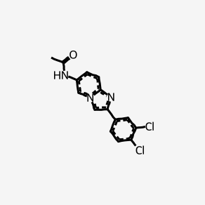 CC(=O)Nc1ccc2nc(-c3ccc(Cl)c(Cl)c3)cn2c1